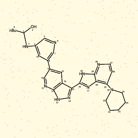 CCCCC(O)Nc1cncc(-c2cnc3[nH]nc(-c4nc5c(N6CCCCC6)ccnc5[nH]4)c3c2)c1